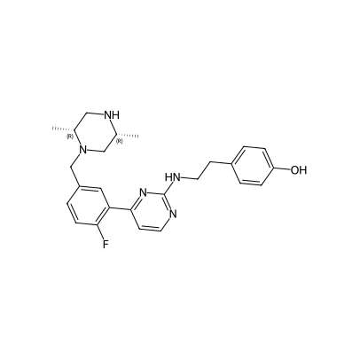 C[C@@H]1CN(Cc2ccc(F)c(-c3ccnc(NCCc4ccc(O)cc4)n3)c2)[C@H](C)CN1